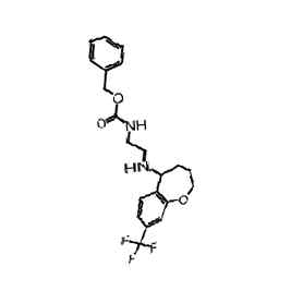 O=C(NCCNC1CCCOc2cc(C(F)(F)F)ccc21)OCc1ccccc1